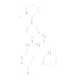 CC(=O)c1ccc(Nc2nc(CN3CC(C)OC(C)C3)nc3cc(-c4ncccc4Cl)ccc23)cc1